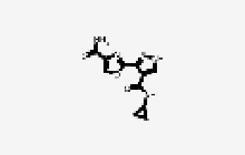 NC(=O)c1coc(-c2n[nH]cc2C(=O)NC2CC2)n1